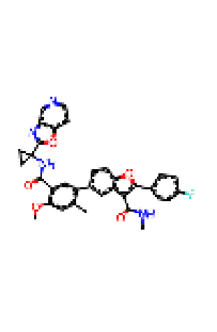 CNC(=O)c1c(-c2ccc(F)cc2)oc2ccc(-c3cc(C(=O)NC4(c5nc6cnccc6o5)CC4)c(OC)cc3C)cc12